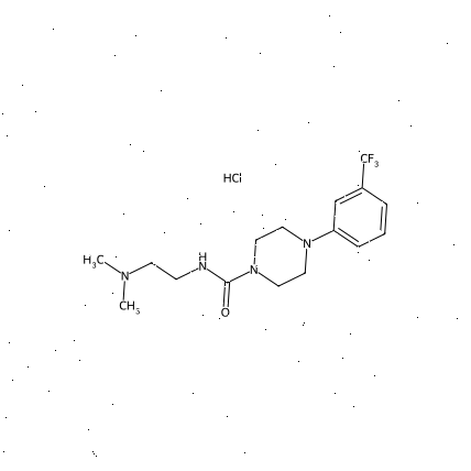 CN(C)CCNC(=O)N1CCN(c2cccc(C(F)(F)F)c2)CC1.Cl